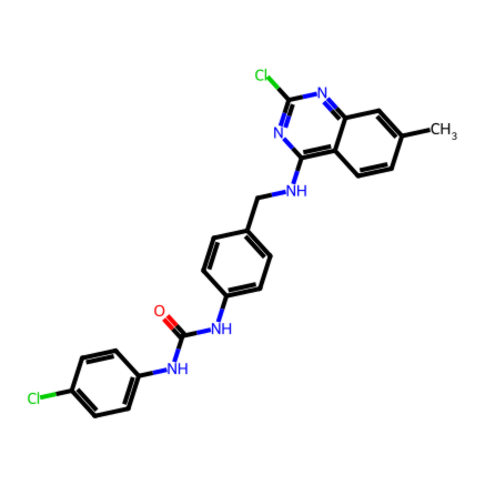 Cc1ccc2c(NCc3ccc(NC(=O)Nc4ccc(Cl)cc4)cc3)nc(Cl)nc2c1